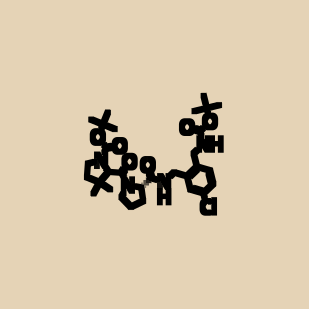 CC(C)(C)OC(=O)NCc1ccc(Cl)cc1CNC(=O)[C@@H]1CCCN1C(=O)C1N(C(=O)OC(C)(C)C)CCC1(C)C